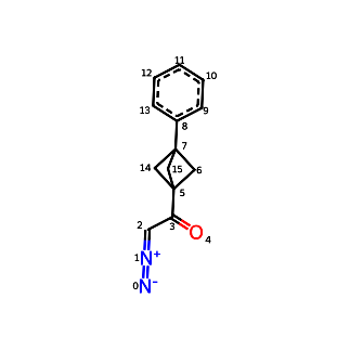 [N-]=[N+]=CC(=O)C12CC(c3ccccc3)(C1)C2